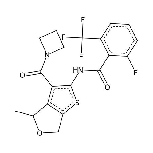 CC1OCc2sc(NC(=O)c3c(F)cccc3C(F)(F)F)c(C(=O)N3CCC3)c21